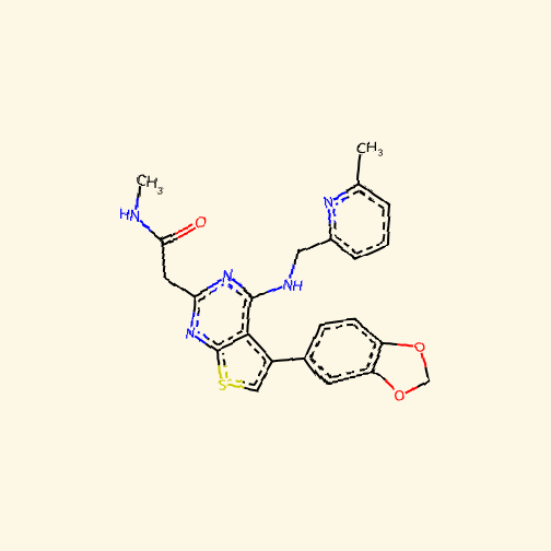 CNC(=O)Cc1nc(NCc2cccc(C)n2)c2c(-c3ccc4c(c3)OCO4)csc2n1